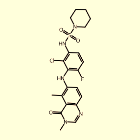 Cc1c(Nc2c(F)ccc(NS(=O)(=O)N3CCCCC3)c2Cl)ccc2ncn(C)c(=O)c12